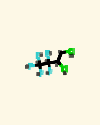 FC(F)(F)C(F)(F)C(Cl)CCl